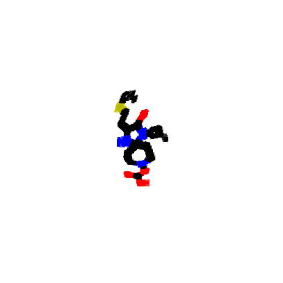 CSCCC1NC2(CCN(OC(=O)O)CC2)N(C)C1=O